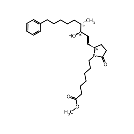 COC(=O)CCCCCCN1C(=O)CC[C@@H]1C=C[C@@H](O)[C@@H](C)CCCCCc1ccccc1